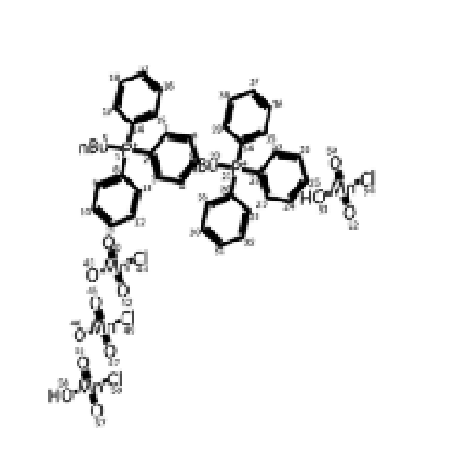 CCCC[P+](c1ccccc1)(c1ccccc1)c1ccccc1.CCCC[P+](c1ccccc1)(c1ccccc1)c1ccccc1.[O]=[Mn](=[O])([O-])[Cl].[O]=[Mn](=[O])([O-])[Cl].[O]=[Mn](=[O])([OH])[Cl].[O]=[Mn](=[O])([OH])[Cl]